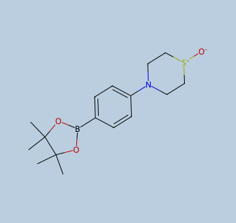 CC1(C)OB(c2ccc(N3CC[S+]([O-])CC3)cc2)OC1(C)C